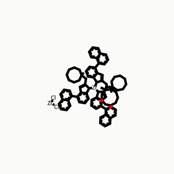 CC1(CC2=Cc3c(-c4cccc5ccccc45)cccc3[CH]2[Zr]([CH]2C(CC3(C)CCCCCCC3)=Cc3c(-c4cccc5ccccc45)cccc32)[CH]2C(CC3(C)CCCCCCC3)=Cc3c(-c4cccc5ccccc45)cccc32)CCCCCCCC1.[Cl][Zr][Cl]